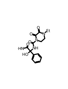 CCN1CCN(C(=O)NC(O)(C([NH])=O)c2ccccc2)C(=O)C1=O